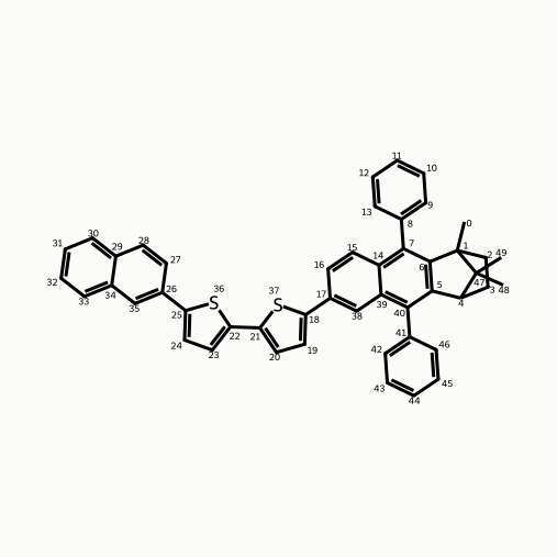 CC12CCC(c3c1c(-c1ccccc1)c1ccc(-c4ccc(-c5ccc(-c6ccc7ccccc7c6)s5)s4)cc1c3-c1ccccc1)C2(C)C